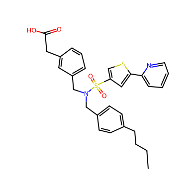 CCCCc1ccc(CN(Cc2cccc(CC(=O)O)c2)S(=O)(=O)c2csc(-c3ccccn3)c2)cc1